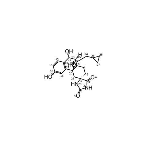 O=C1NC(=O)[C@@]2(CC[C@@]3(O)[C@H]4[C@H](O)c5ccc(O)cc5[C@@]3(CCN4CC3CC3)C2)N1